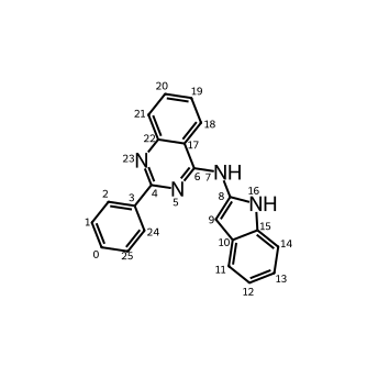 c1ccc(-c2nc(Nc3cc4ccccc4[nH]3)c3ccccc3n2)cc1